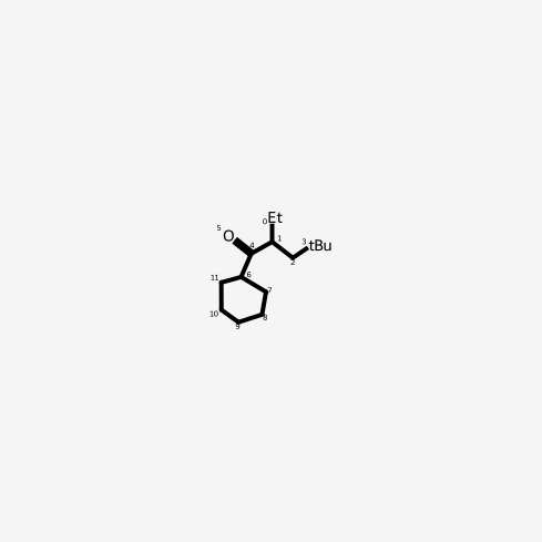 CCC(CC(C)(C)C)C(=O)C1CCCCC1